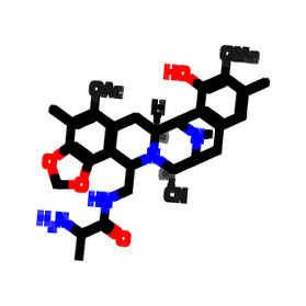 COc1c(C)cc2c(c1O)C1[C@@H]3Cc4c(OC(C)=O)c(C)c5c(c4C(CNC(=O)C(C)N)N3[C@@H](C#N)C(C2)N1C)OCO5